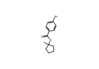 CC(C)c1ccc(C(=O)OC2(C)CCCC2)cc1